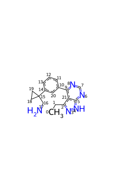 CCc1n[nH]c2ncnc(-c3cccc(C4(CN)CC4)c3)c12